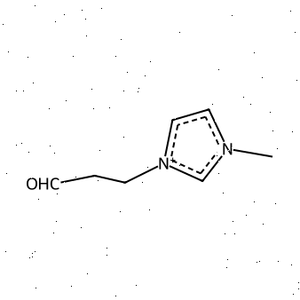 Cn1cc[n+](CCC=O)c1